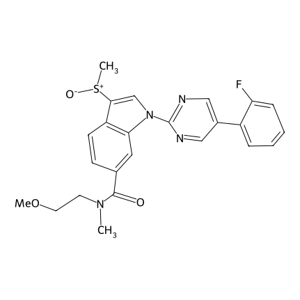 COCCN(C)C(=O)c1ccc2c([S+](C)[O-])cn(-c3ncc(-c4ccccc4F)cn3)c2c1